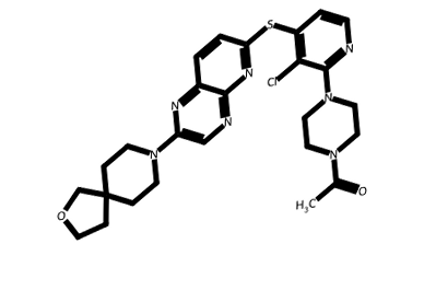 CC(=O)N1CCN(c2nccc(Sc3ccc4nc(N5CCC6(CCOC6)CC5)cnc4n3)c2Cl)CC1